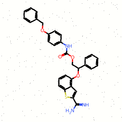 N=C(N)c1cc2c(OC(COC(=O)Nc3ccc(OCc4ccccc4)cc3)c3ccccc3)cccc2s1